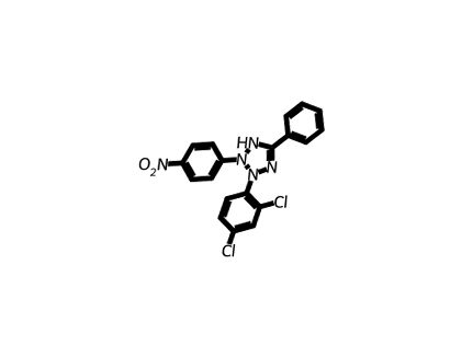 O=[N+]([O-])c1ccc(N2NC(c3ccccc3)=NN2c2ccc(Cl)cc2Cl)cc1